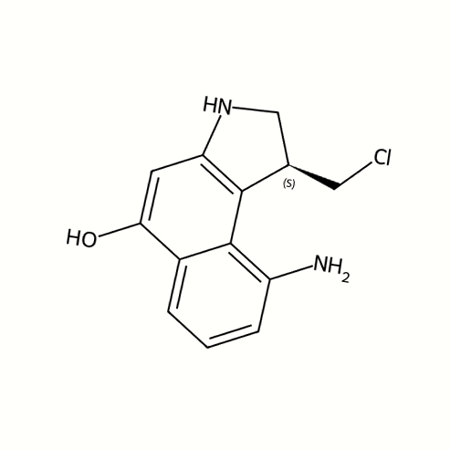 Nc1cccc2c(O)cc3c(c12)[C@H](CCl)CN3